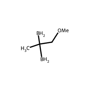 BC(B)(C)COC